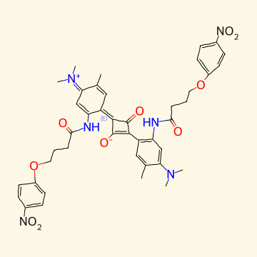 CC1=C/C(=C2\C(=O)C(c3cc(C)c(N(C)C)cc3NC(=O)CCCOc3ccc([N+](=O)[O-])cc3)=C2[O-])C(NC(=O)CCCOc2ccc([N+](=O)[O-])cc2)=CC1=[N+](C)C